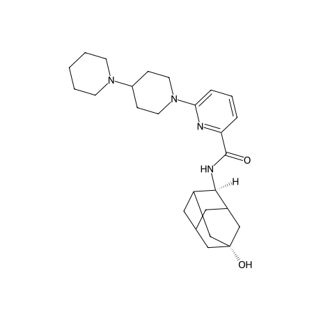 O=C(N[C@H]1C2CC3CC1C[C@](O)(C3)C2)c1cccc(N2CCC(N3CCCCC3)CC2)n1